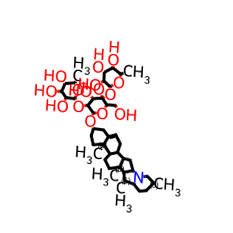 CC1OC(OC2C(OC3CC[C@@]4(C)C(=CCC5C6CC7C([C@H](C)C8CC[C@H](C)CN78)[C@@]6(C)CCC54)C3)OC(CO)C(O)(OC3OC(C)C(O)C(O)C3O)C2O)C(O)C(O)C1O